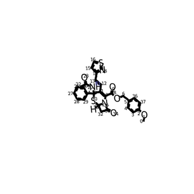 COc1ccc(COC(=O)C2=C(/C=C/c3ccsn3)C(NC(C)=O)(c3ccccc3)S[C@@H]3CC(=O)N23)cc1